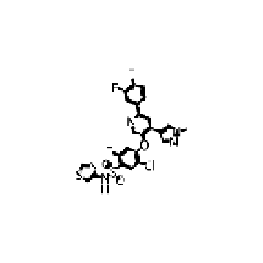 Cn1cc(-c2cc(-c3ccc(F)c(F)c3)ncc2Oc2cc(F)c(S(=O)(=O)Nc3cscn3)cc2Cl)cn1